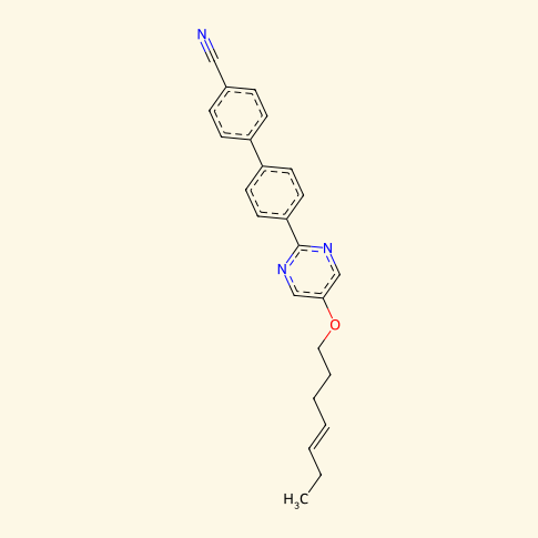 CCC=CCCCOc1cnc(-c2ccc(-c3ccc(C#N)cc3)cc2)nc1